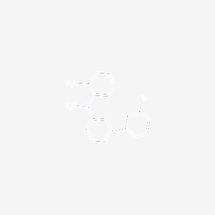 CCc1cccc2c1sc1c(N(C)c3ccccc3C)cccc12